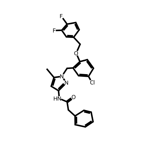 Cc1cc(NC(=O)Cc2ccccc2)nn1Cc1cc(Cl)ccc1OCc1ccc(F)c(F)c1